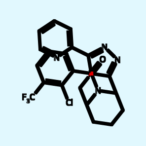 O=C(c1cccc(C(F)(F)F)c1Cl)N1C2CCCC1c1nnc(-c3ccccn3)n1C2